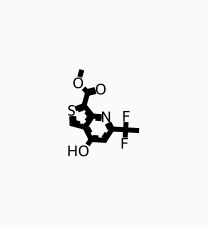 COC(=O)c1scc2c(O)cc(C(C)(F)F)nc12